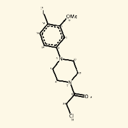 COc1cc(N2CCN(C(=O)CCl)CC2)ccc1I